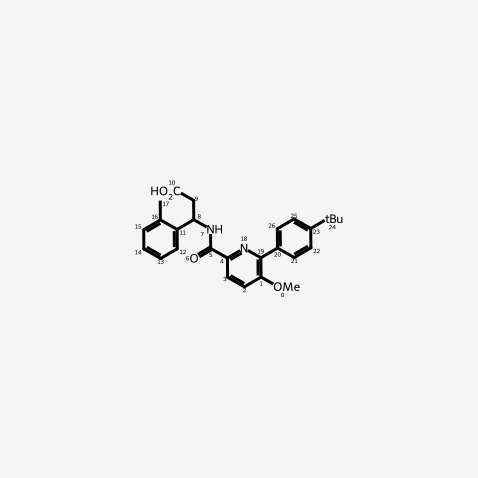 COc1ccc(C(=O)NC(CC(=O)O)c2ccccc2C)nc1-c1ccc(C(C)(C)C)cc1